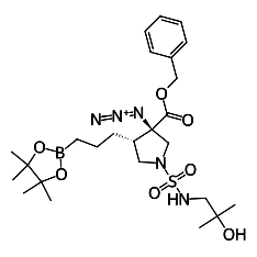 CC(C)(O)CNS(=O)(=O)N1C[C@H](CCCB2OC(C)(C)C(C)(C)O2)[C@](N=[N+]=[N-])(C(=O)OCc2ccccc2)C1